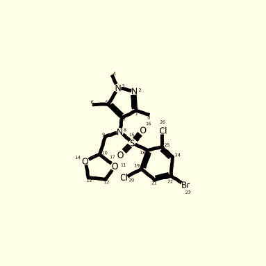 Cc1nn(C)c(C)c1N(CC1OCCO1)S(=O)(=O)c1c(Cl)cc(Br)cc1Cl